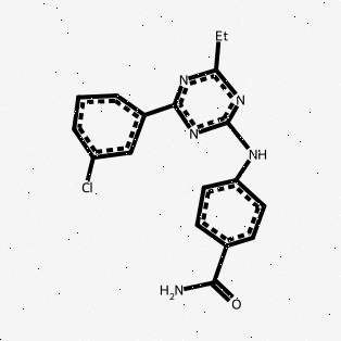 CCc1nc(Nc2ccc(C(N)=O)cc2)nc(-c2cccc(Cl)c2)n1